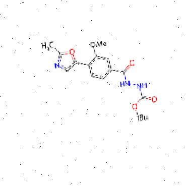 COc1cc(C(=O)NNC(=O)OC(C)(C)C)ccc1-c1cnc(C)o1